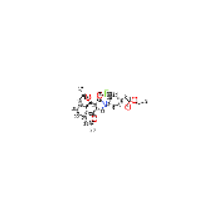 CCOC(=O)Cc1ccc(N2Cc3c(c(OC(C)C)c4ccccc4c3OC(C)C)C2=O)c(F)c1